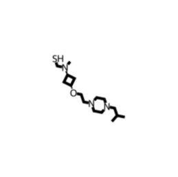 CC(C)CN1CCN(CCO[C@H]2C[C@H](N(C)CS)C2)CC1